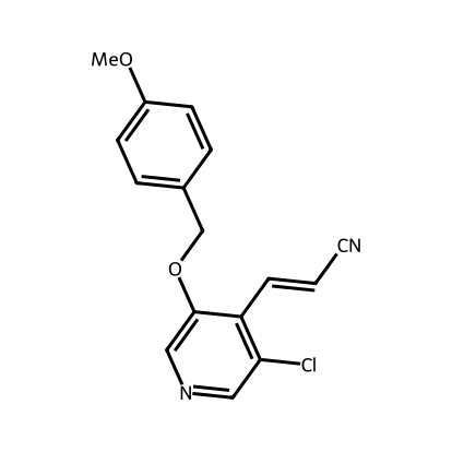 COc1ccc(COc2cncc(Cl)c2C=CC#N)cc1